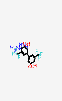 NC1(N)C(O)=CC(c2cc(O)cc(C(F)(F)F)c2)C=C1C(F)(F)F